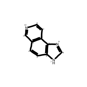 c1cc2c(ccc3[nH]cnc32)cn1